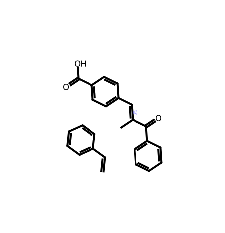 C/C(=C\c1ccc(C(=O)O)cc1)C(=O)c1ccccc1.C=Cc1ccccc1